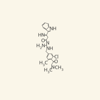 Cc1cc(CN/C(N)=N/C(=O)CC(=N)c2c[nH]c3ccccc23)cc(Cl)c1C(=O)CN(C)C